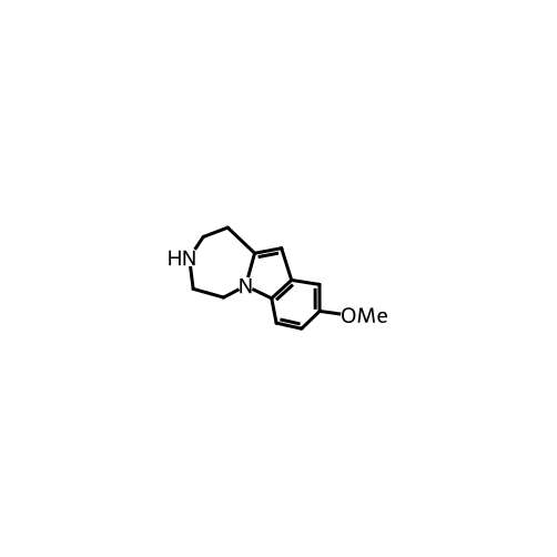 COc1ccc2c(c1)cc1n2CCNCC1